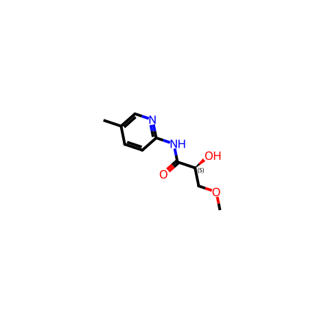 COC[C@H](O)C(=O)Nc1ccc(C)cn1